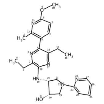 CCc1nc(-c2ccc(OC)nc2C)c(CC)nc1N[C@@H]1CN(c2ccccn2)C[C@@H]1O